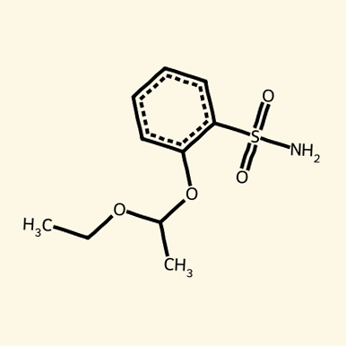 CCOC(C)Oc1ccccc1S(N)(=O)=O